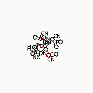 CC(C)(C)c1ccc2c(c1)C13c4cc(ccc4-2)C(C)(C)C24c5ccccc5C25c2ccccc2C5c2c(C#N)cc5c(c24)c2c1c(cc1c4c6c(c(C#N)cc4n5c12)C1c2ccccc2C6c2ccccc21)-c1cc2c4c5c(c(C#N)cc4n4c6cc(C#N)c7c(c6c(c13)c24)C1c2ccccc2C12c1ccccc1C72)C1c2ccccc2C12c1ccccc1C52